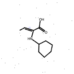 C/C=C(\NC1CCCCC1)C(=O)O